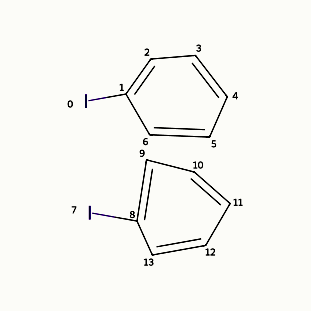 Ic1ccccc1.Ic1ccccc1